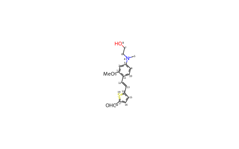 COc1cc(N(C)CCO)ccc1C=Cc1ccc(C=O)s1